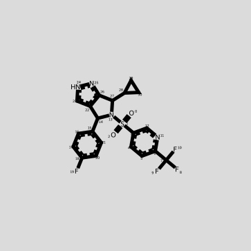 O=S(=O)(c1ccc(C(F)(F)F)nc1)N1C(c2ccc(F)cc2)c2c[nH]nc2C1C1CC1